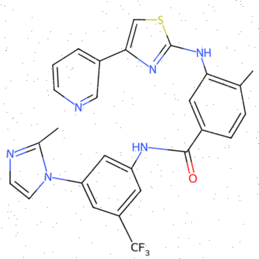 Cc1ccc(C(=O)Nc2cc(-n3ccnc3C)cc(C(F)(F)F)c2)cc1Nc1nc(-c2cccnc2)cs1